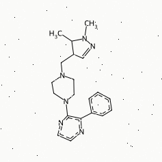 CC1C(CN2CCN(c3nccnc3-c3ccccc3)CC2)C=NN1C